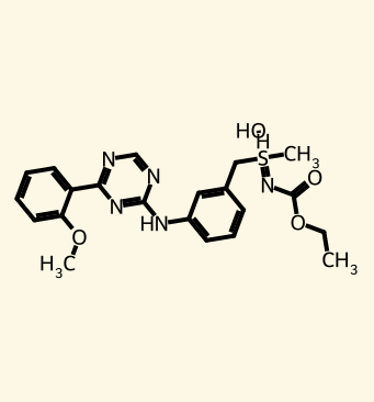 CCOC(=O)N=[SH](C)(O)Cc1cccc(Nc2ncnc(-c3ccccc3OC)n2)c1